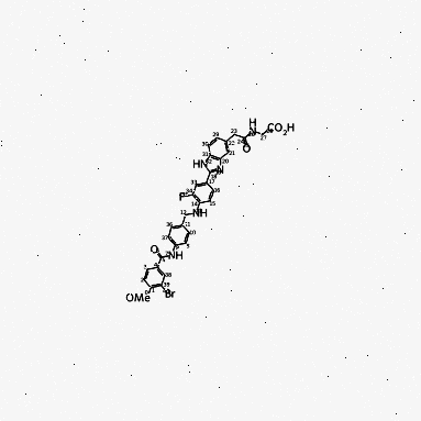 COc1ccc(C(=O)Nc2ccc(CNc3ccc(-c4nc5cc(CC(=O)NCC(=O)O)ccc5[nH]4)cc3F)cc2)cc1Br